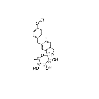 CCOc1ccc(Cc2cc3c(cc2C)CO[C@]32O[C@H](C)[C@@H](O)[C@H](O)[C@H]2O)cc1